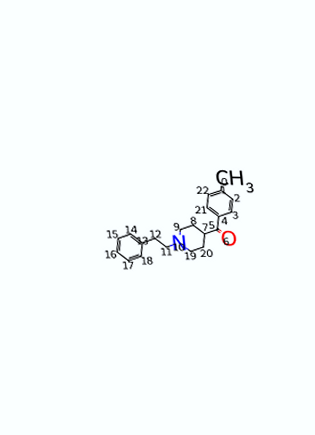 Cc1ccc(C(=O)C2CCN(CCc3ccccc3)CC2)cc1